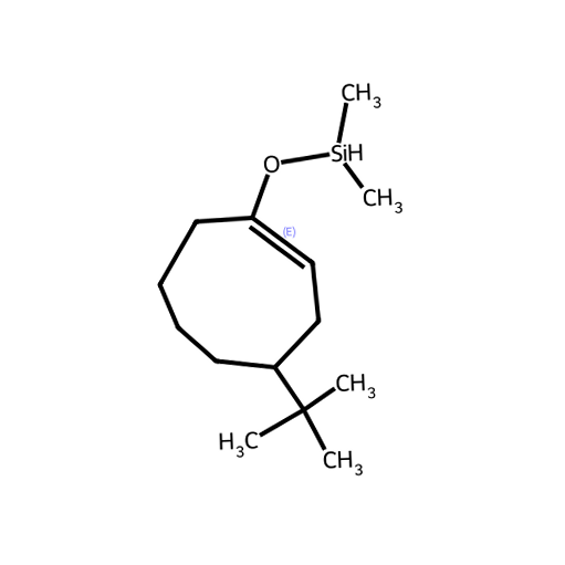 C[SiH](C)O/C1=C/CC(C(C)(C)C)CCCC1